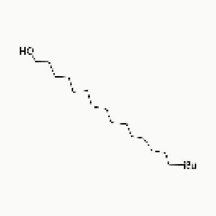 CCC(C)CCCCCCCCCCCCCCCO